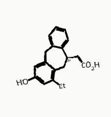 CCc1cc(O)cc2c1C[C@H](CC(=O)O)c1ccccc1C2